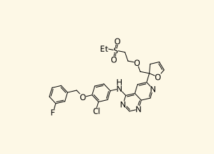 CCS(=O)(=O)CCOCC1(c2cc3c(Nc4ccc(OCc5cccc(F)c5)c(Cl)c4)ncnc3cn2)CC=CO1